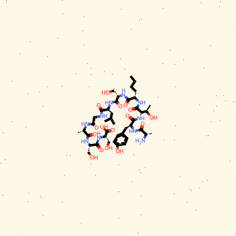 CCCC[C@H](NC(=O)[C@@H](NC(=O)[C@H](Cc1ccc(O)cc1)NC(=O)[C@H](C)N)[C@@H](C)O)C(=O)N[C@@H](CO)C(=O)N[C@@H](CC(C)C)C(=O)NCC(=O)N[C@@H](C)C(=O)N[C@@H](CO)C(=O)N[C@@H](CO)C(=O)O